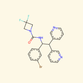 O=C(NC(c1cccc(Br)c1)C(c1cccnc1)c1cccnc1)N1CC(F)(F)C1